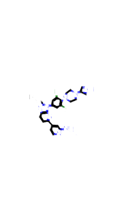 Cc1nc2ccc(-c3ccnc(N)c3)nc2n1-c1cc(F)c(N2CCN(C3CNC3)CC2)c(F)c1